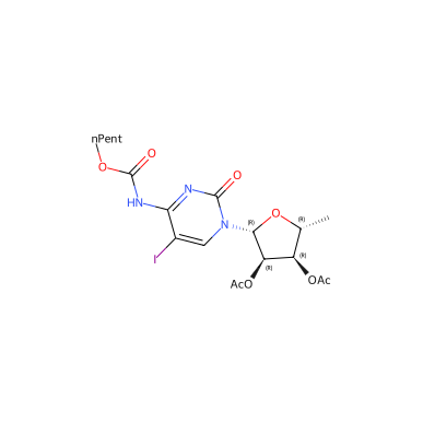 CCCCCOC(=O)Nc1nc(=O)n([C@@H]2O[C@H](C)[C@@H](OC(C)=O)[C@H]2OC(C)=O)cc1I